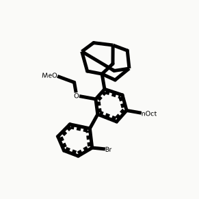 CCCCCCCCc1cc(-c2ccccc2Br)c(OCOC)c(C23CC4CC(CC(C4)C2)C3)c1